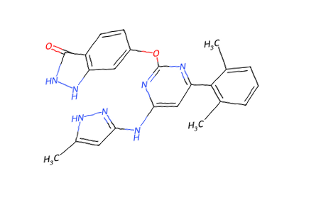 Cc1cc(Nc2cc(-c3c(C)cccc3C)nc(Oc3ccc4c(=O)[nH][nH]c4c3)n2)n[nH]1